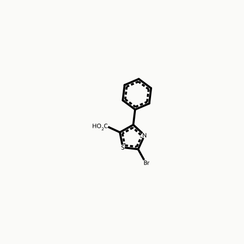 O=C(O)c1sc(Br)nc1-c1ccccc1